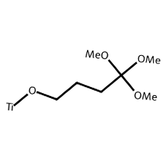 COC(CCC[O][Ti])(OC)OC